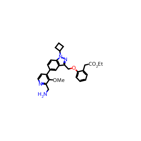 CCOC(=O)Cc1ccccc1OCc1nn(C2CCC2)c2ccc(-c3ccnc(CN)c3OC)cc12